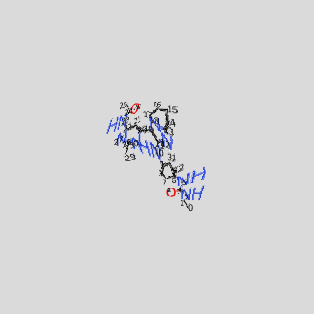 CCNC(=O)Nc1ccc(Nc2nc3ccccn3c2-c2cc(NC(C)=O)nc(C)n2)cc1